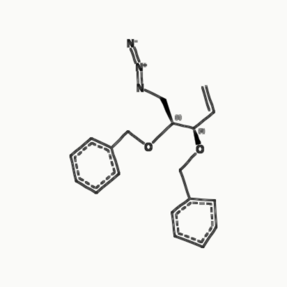 C=C[C@@H](OCc1ccccc1)[C@H](CN=[N+]=[N-])OCc1ccccc1